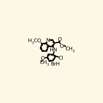 Br.CCOC(=O)c1cnc2c(OC)cccc2c1Nc1cc(OC)ccc1Cl